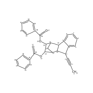 CC#CC1c2ccccc2C2C3CC(C(OC(=O)c4ccccc4)C3OC(=O)c3ccccc3)C12